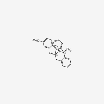 COc1ccc(CN2[C@@H]3Cc4ccccc4[C@@]2(C)c2ccccc23)cc1